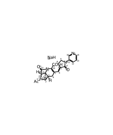 CC(=O)N1C[C@H]2CC(/C=C3\CCN(c4cccnc4)C3=O)=C(C(=O)O)N3C(=O)[C@@H]1[C@@H]23.[NaH]